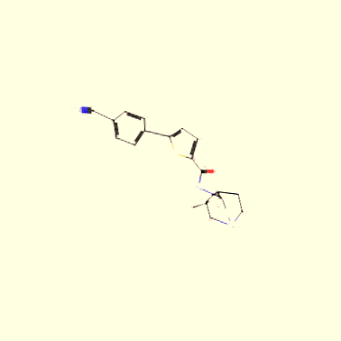 N#Cc1ccc(-c2ccc(C(=O)N[C@H]3CN4CCC3CC4)s2)cc1